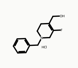 Cl.OCC1=C(F)CN(Cc2ccccc2)CC1